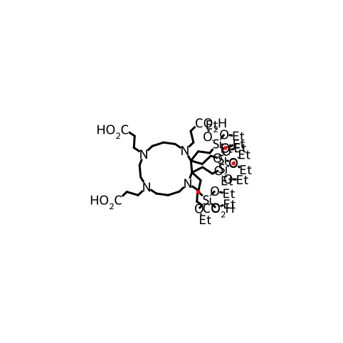 CCO[Si](CCC1(CC[Si](OCC)(OCC)OCC)N(CCC(=O)O)CCCN(CCC(=O)O)CCN(CCC(=O)O)CCCN(CCC(=O)O)C1(CC[Si](OCC)(OCC)OCC)CC[Si](OCC)(OCC)OCC)(OCC)OCC